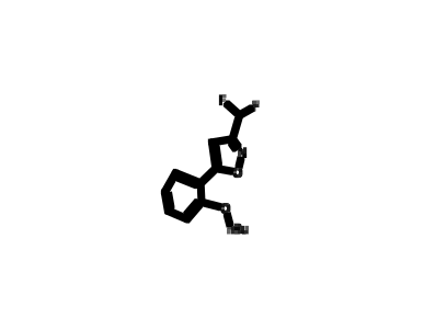 CCCCOc1ccccc1-c1cc(C(F)F)no1